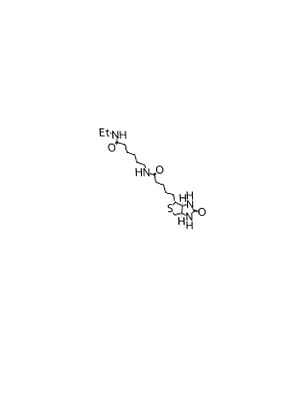 CCNC(=O)CCCCCNC(=O)CCCC[C@@H]1SC[C@@H]2NC(=O)N[C@@H]21